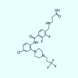 O=C(O)CCNCc1ccc(C(=O)Nc2ccc(Cl)cc2N2CCN(CCC(F)(F)F)CC2)c(F)c1F